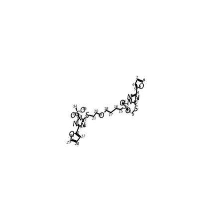 CSc1nc(-c2ccco2)nn1S(=O)(=O)CCCCOCCSc1nc(-c2ccco2)nn1S(C)(=O)=O